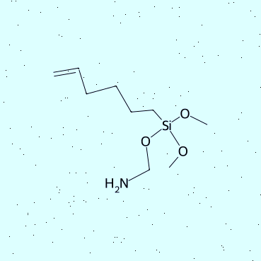 C=CCCCC[Si](OC)(OC)OCN